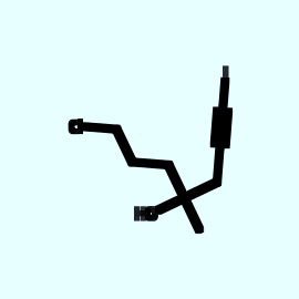 CC(O)(CC#CI)CCCCl